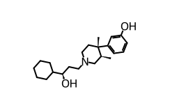 C[C@H]1CN(CC[C@@H](O)C2CCCCC2)CC[C@]1(C)c1cccc(O)c1